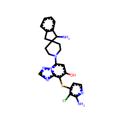 Nc1nccc(Sc2c(O)cc(N3CCC4(CC3)Cc3ccccc3C4N)n3ncnc23)c1Cl